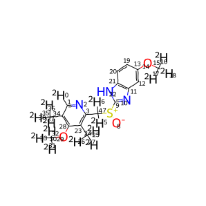 [2H]c1nc(C([2H])([2H])[S+]([O-])c2nc3cc(OC([2H])([2H])[2H])ccc3[nH]2)c(C([2H])([2H])[2H])c(OC([2H])([2H])[2H])c1C([2H])([2H])[2H]